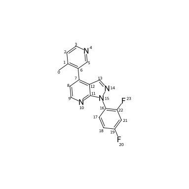 Cc1ccncc1-c1ccnc2c1cnn2-c1ccc(F)cc1F